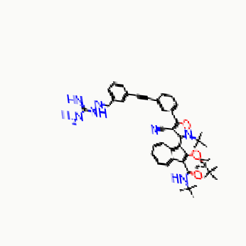 CC(C)(C)NC(=O)c1c2cccccc-2c(C2C(C#N)=C(c3cccc(C#Cc4cccc(/C=N/NC(=N)N)c4)c3)ON2C(C)(C)C)c1O[Si](C)(C)C(C)(C)C